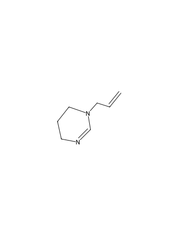 C=CCN1C=NCCC1